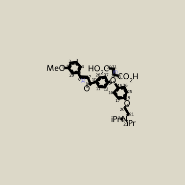 COc1cccc(/C=C/C(=O)c2ccc(Oc3ccc(OCCN(C(C)C)C(C)C)cc3)cc2)c1.O=C(O)/C=C/C(=O)O